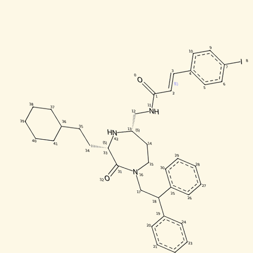 O=C(/C=C/c1ccc(I)cc1)NC[C@@H]1CCN(CC(c2ccccc2)c2ccccc2)C(=O)[C@H](CCC2CCCCC2)N1